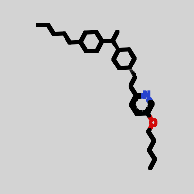 CCCCCOc1ccc(CC[C@H]2CC[C@H](C(C)C3CCC(CCCCC)CC3)CC2)nc1